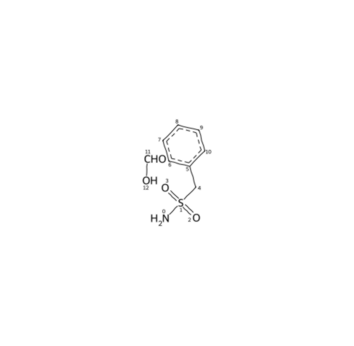 NS(=O)(=O)Cc1ccccc1.O=CO